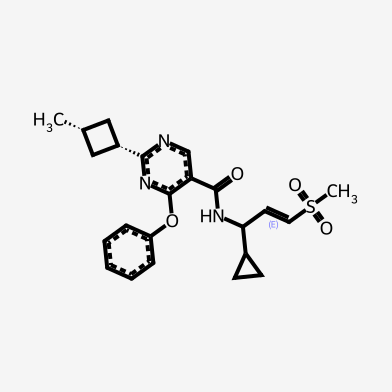 CS(=O)(=O)/C=C/C(NC(=O)c1cnc([C@H]2C[C@@H](C)C2)nc1Oc1ccccc1)C1CC1